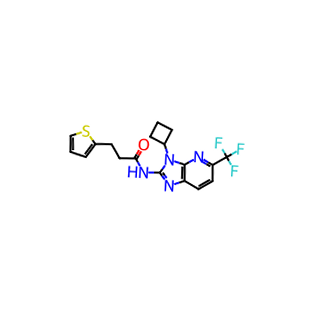 O=C(CCc1cccs1)Nc1nc2ccc(C(F)(F)F)nc2n1C1CCC1